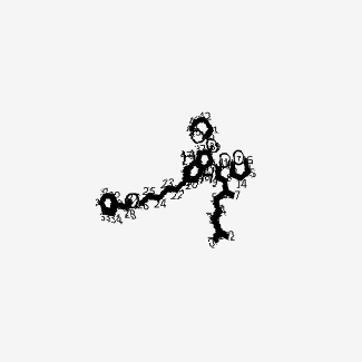 CC(C)=CCCC(C)CC=C(OC1CCCCO1)[C@@H]1[C@@H]2CC(CCCCCOCc3ccccc3)=C[C@@H]2C[C@H]1OC1CCCCO1